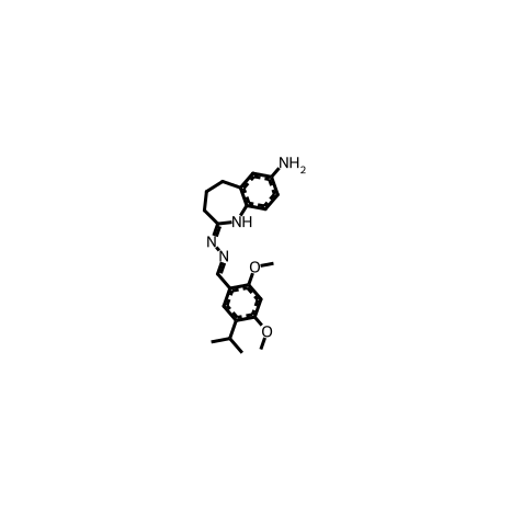 COc1cc(OC)c(C(C)C)cc1C=N/N=C1/CCCc2cc(N)ccc2N1